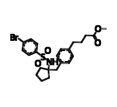 COC(=O)CCCc1ccc(CC2(NS(=O)(=O)c3ccc(Br)cc3)CCCC2)cc1